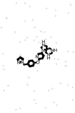 c1cnn(Cc2ccc(Oc3ccc(N4CNCC45CNCNC5)cn3)cc2)c1